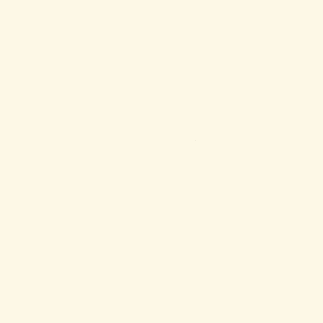 C=CC1=C(/C=C\C)CC(=O)CC1